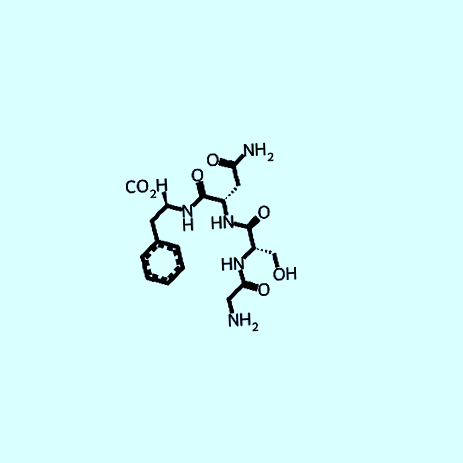 NCC(=O)N[C@@H](CO)C(=O)N[C@@H](CC(N)=O)C(=O)N[C@@H](Cc1ccccc1)C(=O)O